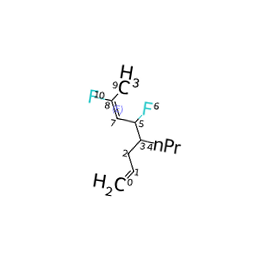 C=CCC(CCC)C(F)/C=C(\C)F